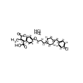 Cc1c(C(=O)O)c2ccc(OCCCN3CCN(Cc4ccc(Cl)cc4)CC3)cc2oc1=O.Cl.Cl